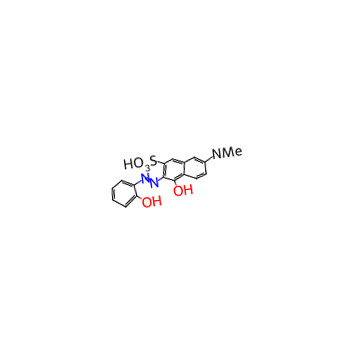 CNc1ccc2c(O)c(N=Nc3ccccc3O)c(S(=O)(=O)O)cc2c1